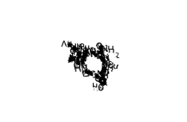 CC[C@@H](C)[C@@H](NC(=O)CN(C(=O)[C@@H]1CNC(=O)CCC(=O)N[C@@H](Cc2ccc(O)cc2)C(=O)N[C@@H]([C@@H](C)CC)C(=O)N[C@@H](CCC(N)=O)C(=O)N[C@@H](CC(C)=O)C(=O)N1)C1CC1)C(=O)NCC(C)=O